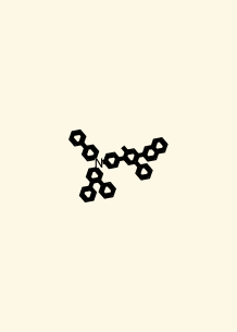 Cc1cc(-c2ccc3ccccc3c2)c(-c2ccccc2)cc1-c1ccc(N(c2ccc(-c3ccccc3)cc2)c2ccc(-c3ccccc3)c(-c3ccccc3)c2)cc1